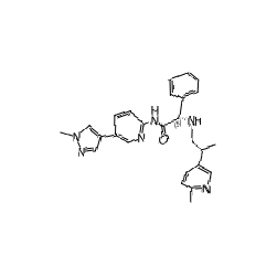 Cc1ccc(C(C)CN[C@H](C(=O)Nc2ccc(-c3cnn(C)c3)cn2)c2ccccc2)cn1